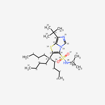 CCC[CH2][Sn]([CH2]CCC)([CH2]CCC)[c]1sc2c(C(C)(C)C)ncn2c1S(=O)(=O)N[SiH](C)C